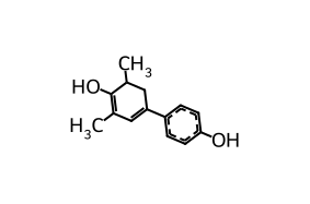 CC1=C(O)C(C)CC(c2ccc(O)cc2)=C1